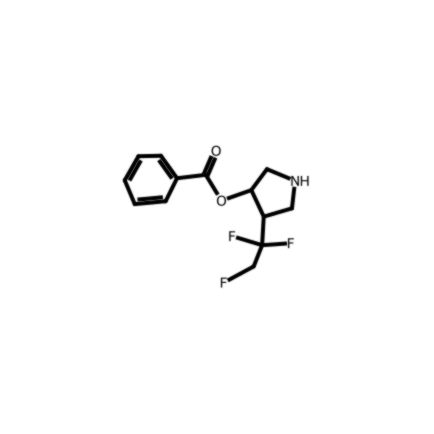 O=C(OC1CNCC1C(F)(F)CF)c1ccccc1